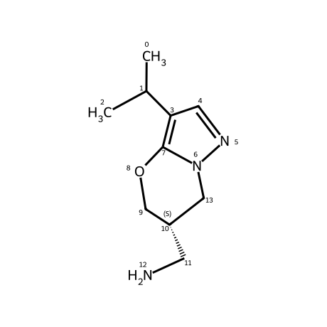 CC(C)c1cnn2c1OC[C@@H](CN)C2